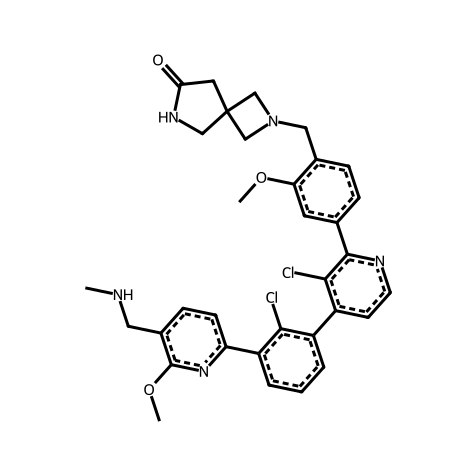 CNCc1ccc(-c2cccc(-c3ccnc(-c4ccc(CN5CC6(CNC(=O)C6)C5)c(OC)c4)c3Cl)c2Cl)nc1OC